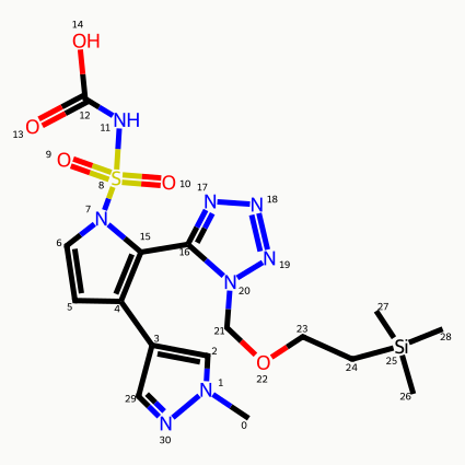 Cn1cc(-c2ccn(S(=O)(=O)NC(=O)O)c2-c2nnnn2COCC[Si](C)(C)C)cn1